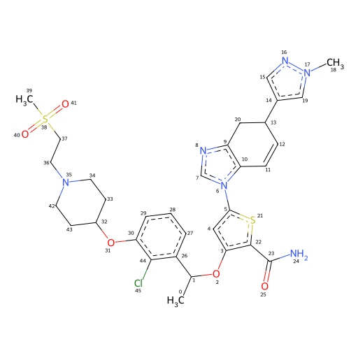 CC(Oc1cc(-n2cnc3c2C=CC(c2cnn(C)c2)C3)sc1C(N)=O)c1cccc(OC2CCN(CCS(C)(=O)=O)CC2)c1Cl